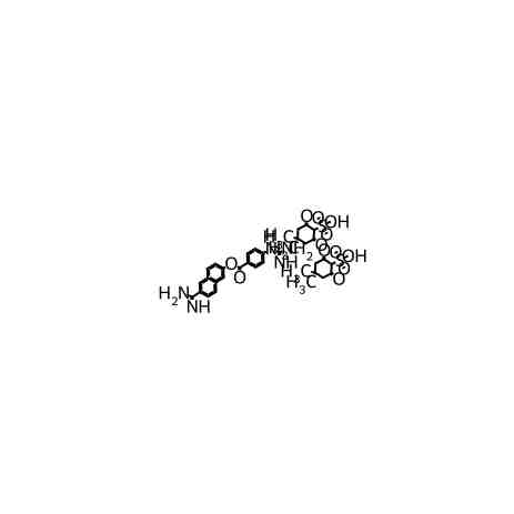 CC1(C)CC(=O)C(S(=O)(=O)O)C(=O)C1.CC1(C)CC(=O)C(S(=O)(=O)O)C(=O)C1.N=C(N)Nc1ccc(C(=O)Oc2ccc3cc(C(=N)N)ccc3c2)cc1